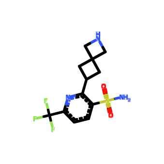 NS(=O)(=O)c1ccc(C(F)(F)F)nc1C1CC2(CNC2)C1